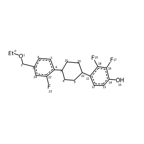 CCOCc1ccc(C2CCC(c3ccc(O)c(F)c3F)CC2)c(F)c1